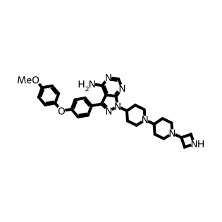 COc1ccc(Oc2ccc(-c3nn(C4CCN(C5CCN(C6CNC6)CC5)CC4)c4ncnc(N)c34)cc2)cc1